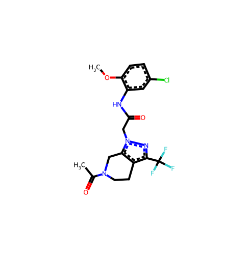 COc1ccc(Cl)cc1NC(=O)Cn1nc(C(F)(F)F)c2c1CN(C(C)=O)CC2